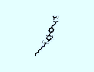 CCCCC/C=C/C(=O)Oc1cnc(-c2ccc(CCC(C)OC(C)=O)cc2)nc1